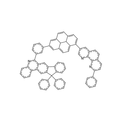 C1=CC2=CC=C(c3cnc4c(ccc5ccc(-c6ccccc6)nc54)c3)C3=CC=C4C=C(c5cccc(-c6nc7ccccc7c7cc8c(cc67)-c6ccccc6C8(c6ccccc6)c6ccccc6)c5)C=C1C4C23